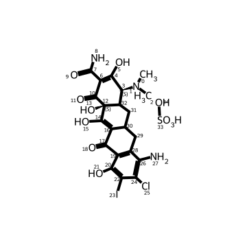 CN(C)[C@@H]1C(O)=C(C(N)=O)C(=O)[C@@]2(O)C(O)=C3C(=O)c4c(O)c(I)c(Cl)c(N)c4CC3CC12.O=S(=O)(O)O